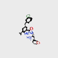 CN[C@H](CNC(=O)c1cc(Cc2cccc(Cl)c2)cc(C2CC2)c1)C[C@H]1CCCOC1